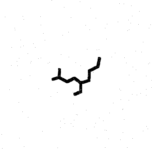 CCCCC(CC)CCC(C)C